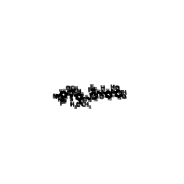 CC(C)c1cc(N2C(=S)N(c3ccc(C#N)c(C(F)(F)F)c3)C(=O)C2(C)C)ccc1OCCN1CCN(CC(=O)Nc2cccc(NC3CCC(=O)NC3=O)c2)[C@H](C(F)(F)F)C1